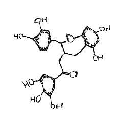 O=C(C[C@@H]1Cc2c(O)cc(O)cc2OC1c1ccc(O)c(O)c1)c1cc(O)c(O)c(O)c1